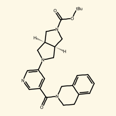 CC(C)(C)OC(=O)N1C[C@@H]2CN(c3cncc(C(=O)N4CCc5ccccc5C4)c3)C[C@@H]2C1